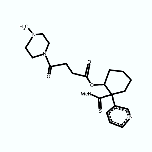 CNC(=S)C1(c2cccnc2)CCCCC1OC(=O)CCC(=O)N1CCN(C)CC1